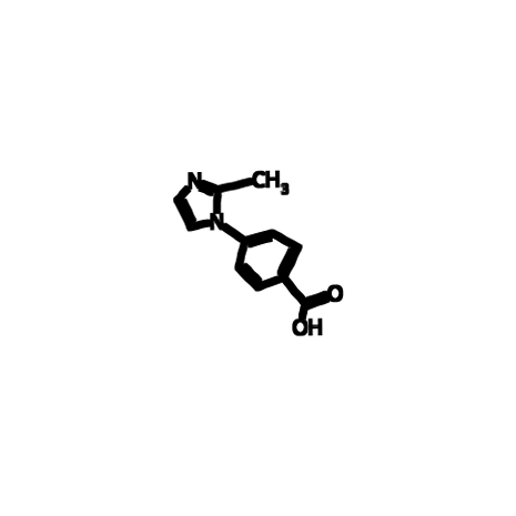 Cc1nccn1-c1ccc(C(=O)O)cc1